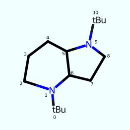 CC(C)(C)N1CCCC2C1CCN2C(C)(C)C